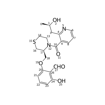 C[C@@H](O)Cc1ncccc1C(=O)N1CCSC[C@@H]1COc1cccc(O)c1C=O